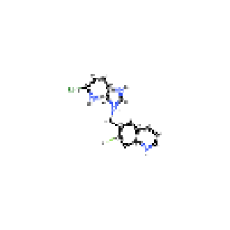 Fc1cc2ncccc2cc1Cn1cnc2ccc(Cl)nc21